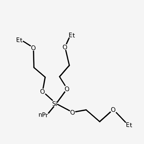 CCC[Si](OCCOCC)(OCCOCC)OCCOCC